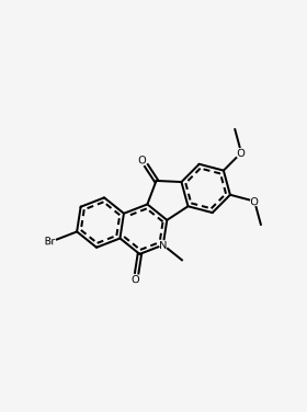 COc1cc2c(cc1OC)-c1c(c3ccc(Br)cc3c(=O)n1C)C2=O